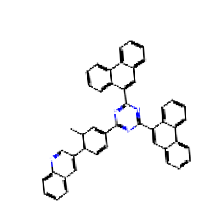 CC1C=C(c2nc(-c3cc4ccccc4c4ccccc34)nc(-c3cc4ccccc4c4ccccc34)n2)C=CC1c1cnc2ccccc2c1